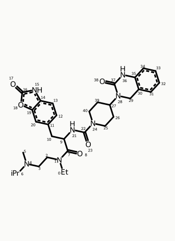 CCN(CCN(C)C(C)C)C(=O)C(Cc1ccc2[nH]c(=O)oc2c1)NC(=O)N1CCC(N2Cc3ccccc3NC2=O)CC1